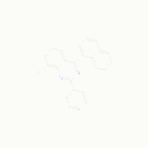 CC(C)c1cccc2c(-c3cccc4ccccc34)nc(-c3ccccc3)nc12